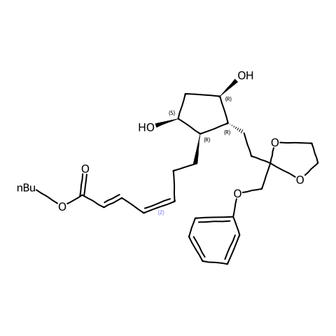 CCCCOC(=O)C=C/C=C\CC[C@@H]1[C@@H](CCC2(COc3ccccc3)OCCO2)[C@H](O)C[C@@H]1O